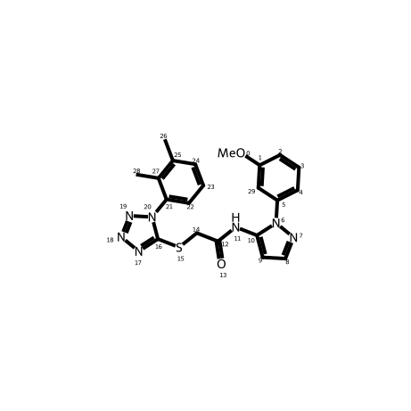 COc1cccc(-n2nccc2NC(=O)CSc2nnnn2-c2cccc(C)c2C)c1